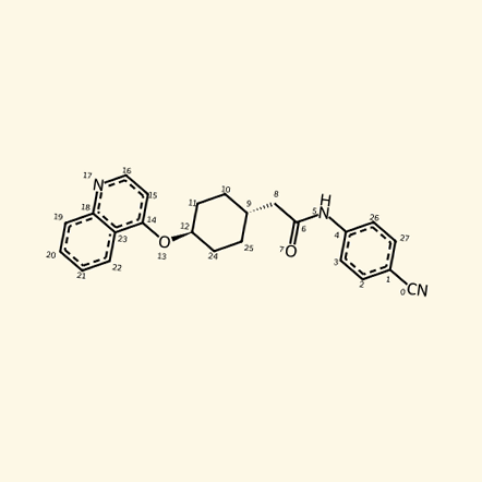 N#Cc1ccc(NC(=O)C[C@H]2CC[C@H](Oc3ccnc4ccccc34)CC2)cc1